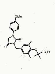 CCOC(=O)C(C)(C)Oc1c(C)cc(CN2C(=O)CN(c3ccc(OC)cc3)C2=O)cc1C